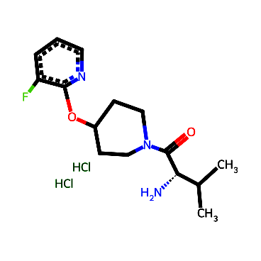 CC(C)[C@H](N)C(=O)N1CCC(Oc2ncccc2F)CC1.Cl.Cl